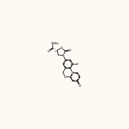 CNC(=O)[C@H]1CN(c2cc(F)c3c(c2)COc2cc(=O)ccn2-3)C(=O)O1